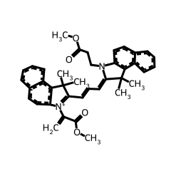 C=C(C(=O)OC)[N+]1=C(/C=C/C=C2\N(CCC(=O)OC)c3ccc4ccccc4c3C2(C)C)C(C)(C)c2c1ccc1ccccc21